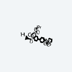 CC(C)OC(=O)N1C[C@H](C)N(C(=O)C2CC2)c2ccc(-c3ccc(N4CCCS4(=O)=O)cc3)cc21